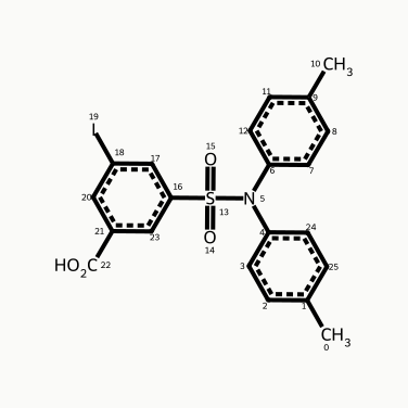 Cc1ccc(N(c2ccc(C)cc2)S(=O)(=O)c2cc(I)cc(C(=O)O)c2)cc1